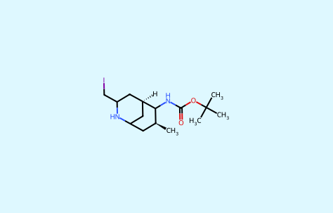 C[C@H]1CC2C[C@@H](CC(CI)N2)C1NC(=O)OC(C)(C)C